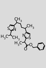 CC(C)c1nc(C(C)CCC(C)c2csc(C(C)C(=O)OCc3ccccc3)n2)cs1